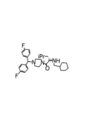 CC(C)C[C@H](NCC1CCCCC1)C(=O)N1CCN(C(c2ccc(F)cc2)c2ccc(F)cc2)CC1